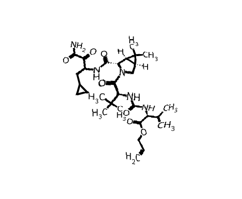 C=CCOC(=O)[C@@H](NC(=O)N[C@H](C(=O)N1C[C@H]2[C@@H]([C@H]1C(=O)NC(CC1CC1)C(=O)C(N)=O)C2(C)C)C(C)(C)C)C(C)C